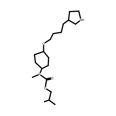 CC(C)COC(=O)N(C)C1CCC(OCCCCC2CCNC2)CC1